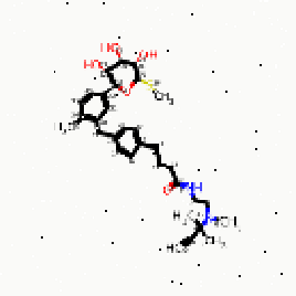 C#CC(C)(C)N(C)CCNC(=O)CCCc1ccc(Cc2cc([C@@H]3O[C@H](SC)[C@@H](O)[C@H](O)[C@H]3O)ccc2C)cc1